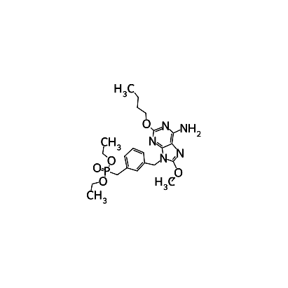 CCCCOc1nc(N)c2nc(OC)n(Cc3cccc(CP(=O)(OCC)OCC)c3)c2n1